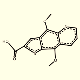 COc1c2cc(C(=O)O)sc2c(OC)c2cccnc12